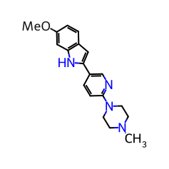 COc1ccc2cc(-c3ccc(N4CCN(C)CC4)nc3)[nH]c2c1